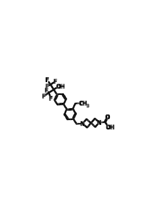 CCc1cc(CN2CC3(C2)CN(C(=O)O)C3)ccc1-c1ccc(C(O)(C(F)(F)F)C(F)(F)F)cc1